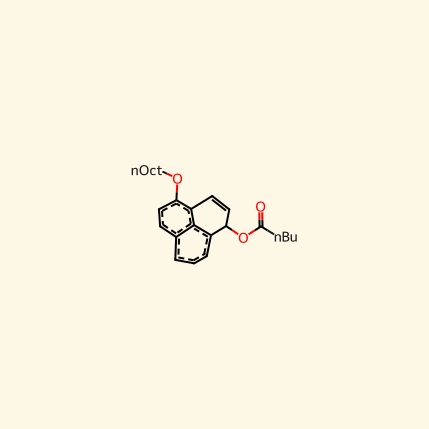 CCCCCCCCOc1ccc2cccc3c2c1C=CC3OC(=O)CCCC